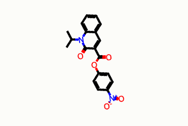 CC(C)n1c(=O)c(C(=O)Oc2ccc([N+](=O)[O-])cc2)cc2ccccc21